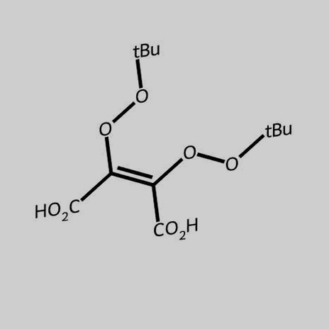 CC(C)(C)OOC(C(=O)O)=C(OOC(C)(C)C)C(=O)O